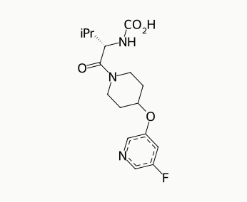 CC(C)[C@H](NC(=O)O)C(=O)N1CCC(Oc2cncc(F)c2)CC1